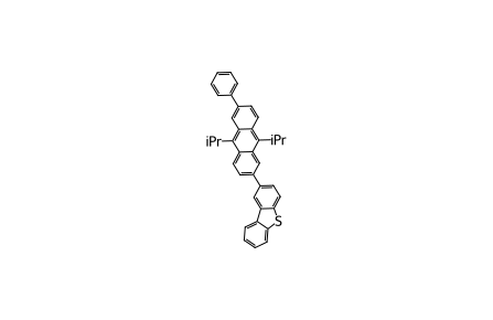 CC(C)c1c2ccc(-c3ccc4sc5ccccc5c4c3)cc2c(C(C)C)c2ccc(-c3ccccc3)cc12